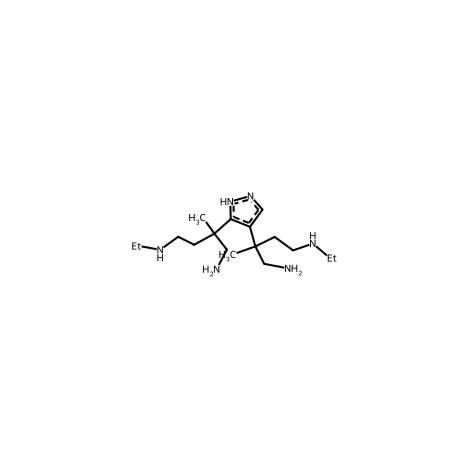 CCNCCC(C)(CN)c1cn[nH]c1C(C)(CN)CCNCC